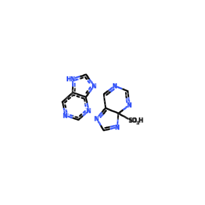 O=S(=O)(O)C12N=CN=CC1=NC=N2.c1ncc2[nH]cnc2n1